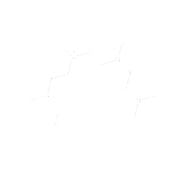 CN(C)CCN(C)CCN(C)CCN(C)CCO